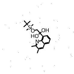 Cc1cc2cccc(C(O)(O)CO[Si](C)(C)C(C)(C)C)c2nc1C